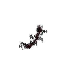 CCC(=O)N(CC(C)(C)SCCNC(=S)Nc1ccc2c(c1)C(=O)OC21c2ccc(O)cc2Oc2cc(O)ccc21)C(C)(C)CCCCC(=O)NCCNC(=O)OC1CC[C@@]2(C)C(=CC[C@H]3[C@@H]4CC[C@H]([C@H](C)CCCC(C)C)[C@@]4(C)CC[C@@H]32)C1